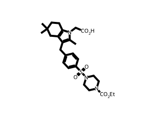 CCOC(=O)N1CCN(S(=O)(=O)c2ccc(Cc3c4c(n(CC(=O)O)c3C)CCC(C)(C)C4)cc2)CC1